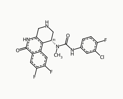 CN(C(=O)Nc1ccc(F)c(Cl)c1)[C@H]1CNCc2[nH]c(=O)c3cc(F)c(F)cc3c21